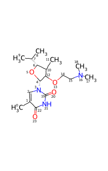 Cc1cn([C@@H]2O[C@H](C(C)C)C(C)C2OCCN(C)C)c(=O)[nH]c1=O